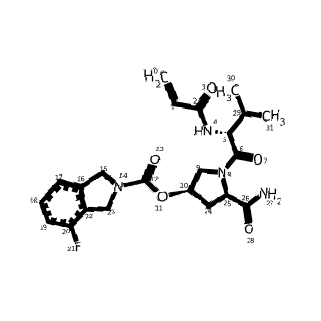 C=CC(=O)N[C@@H](C(=O)N1C[C@H](OC(=O)N2Cc3cccc(F)c3C2)CC1C(N)=O)C(C)C